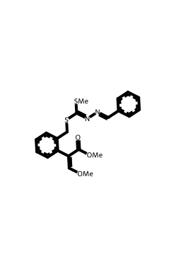 COC=C(C(=O)OC)c1ccccc1CSC(=NN=Cc1ccccc1)SC